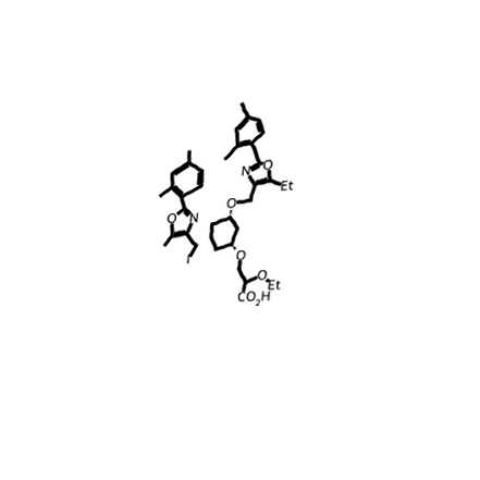 CCOC(CO[C@@H]1CCC[C@H](OCc2nc(-c3ccc(C)cc3C)oc2CC)C1)C(=O)O.Cc1ccc(-c2nc(CI)c(C)o2)c(C)c1